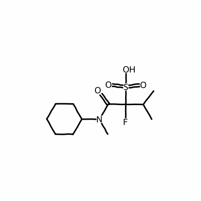 CC(C)C(F)(C(=O)N(C)C1CCCCC1)S(=O)(=O)O